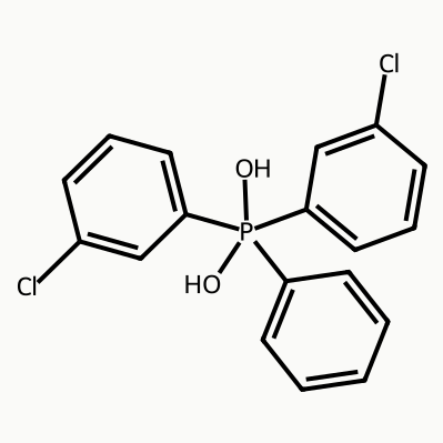 OP(O)(c1ccccc1)(c1cccc(Cl)c1)c1cccc(Cl)c1